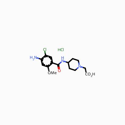 COc1cc(N)c(Cl)cc1C(=O)NC1CCN(CC(=O)O)CC1.Cl